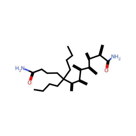 C=C(C(=C)C(=C)C(=C)C(CCCC)(CCCC)CCCC(N)=O)C(=C)C(=C)C(N)=O